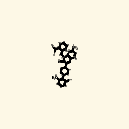 Cc1cnc2cc(C3CCC(c4c(C)cccc4F)CC3)c(=O)n(Cc3nccnc3C(F)F)c2n1